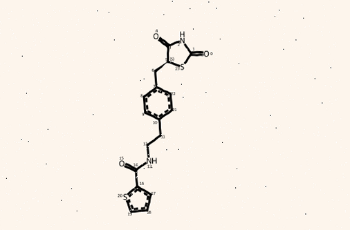 O=C1NC(=O)[C@H](Cc2ccc(CCNC(=O)c3cccs3)cc2)S1